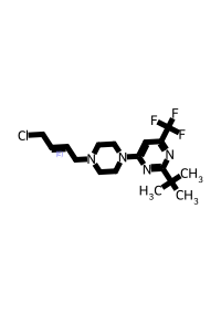 CC(C)(C)c1nc(N2CCN(C/C=C/CCl)CC2)cc(C(F)(F)F)n1